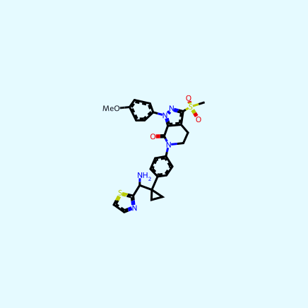 COc1ccc(-n2nc(S(C)(=O)=O)c3c2C(=O)N(c2ccc(C4(C(N)c5nccs5)CC4)cc2)CC3)cc1